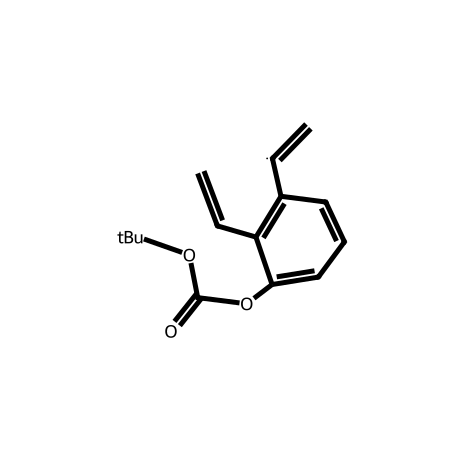 C=[C]c1cccc(OC(=O)OC(C)(C)C)c1C=C